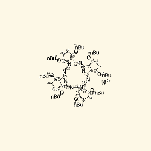 CCCCOc1ccc(OCCCC)c2c1-c1nc-2nc2[n-]c(nc3nc(nc4[n-]c(n1)c1c(OCCCC)ccc(OCCCC)c41)-c1c(OCCCC)ccc(OCCCC)c1-3)c1c(OCCCC)ccc(OCCCC)c21.[Ni+2]